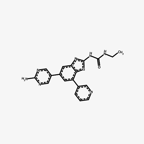 CCNC(=O)Nc1nc2cc(-c3cnc(N)nc3)cc(-c3cccnc3)c2s1